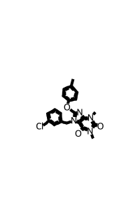 Cc1ccc(Oc2nc3c(c(=O)n(C)c(=O)n3C)n2Cc2cccc(Cl)c2)cc1